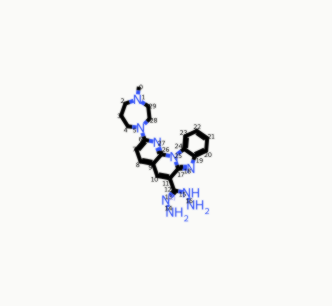 CN1CCCN(c2ccc3cc(/C(=N/N)NN)c4nc5ccccc5n4c3n2)CC1